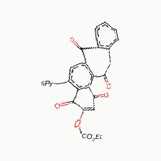 CCCc1cc2c(c3c1C(=O)C(OC(=O)OCC)=CC3=O)C(=O)Cc1ccccc1C2=O